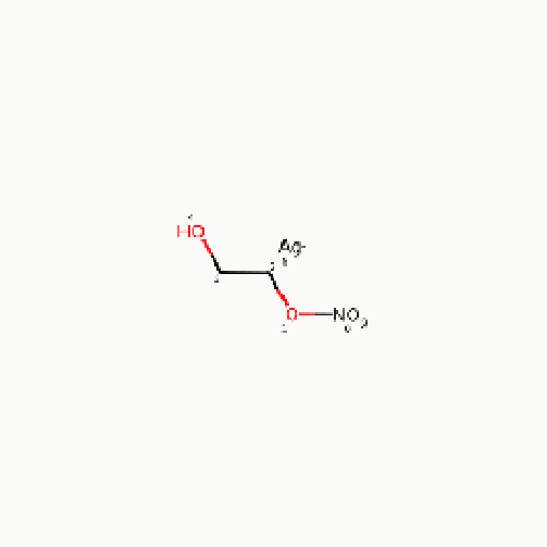 O=[N+]([O-])OCCO.[Ag]